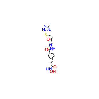 Cc1nnc(Sc2ccc(/C=N/NC(=O)c3ccc(/C=C/C(=O)NO)cc3)o2)n1C